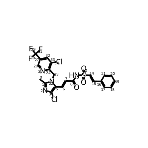 Cc1nc(Cl)c(/C=C/C(=O)NS(=O)(=O)/C=C/c2ccccc2)n1Cc1ncc(C(F)(F)F)cc1Cl